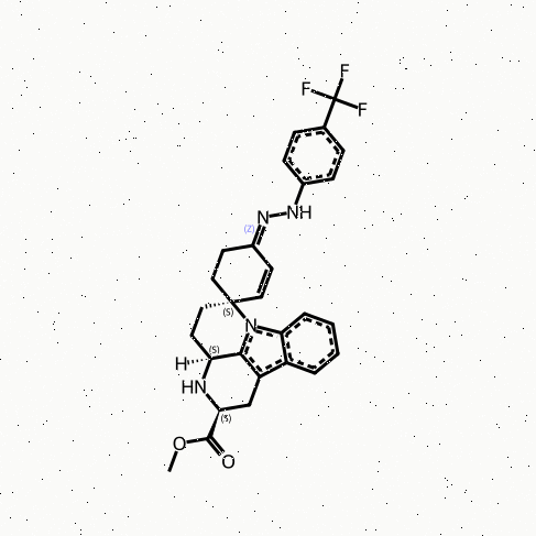 COC(=O)[C@@H]1Cc2c3n(c4ccccc24)[C@@]2(C=C/C(=N\Nc4ccc(C(F)(F)F)cc4)CC2)CC[C@@H]3N1